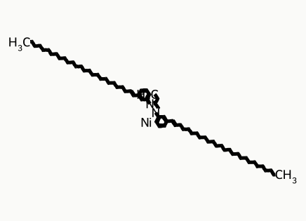 CCCCCCCCCCCCCCCCCCCCCCCCCC=Cc1cccc(N=CC(CC)=Nc2cccc(C=CCCCCCCCCCCCCCCCCCCCCCCCCC)c2)c1.[Ni]